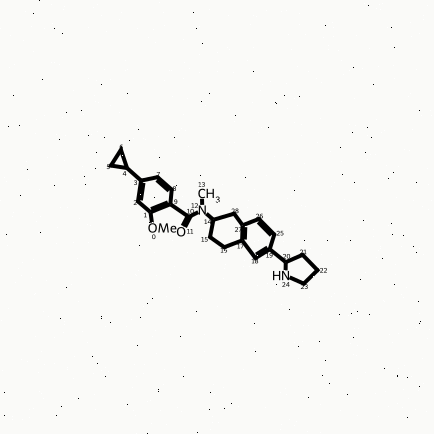 COc1cc(C2CC2)ccc1C(=O)N(C)C1CCc2cc(C3CCCN3)ccc2C1